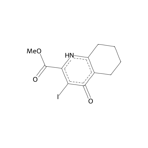 COC(=O)c1[nH]c2c(c(=O)c1I)CCCC2